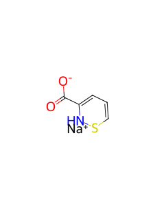 O=C([O-])C1=CC=CSN1.[Na+]